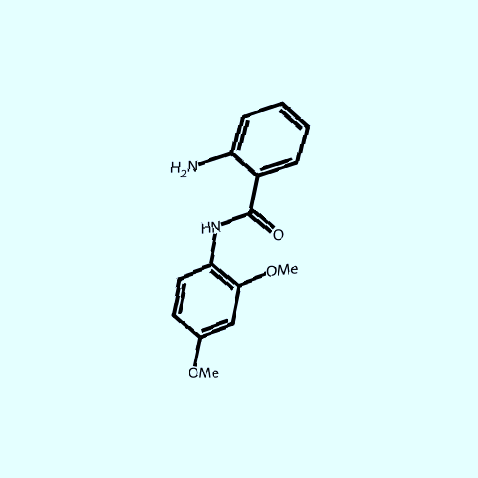 COc1ccc(NC(=O)c2ccccc2N)c(OC)c1